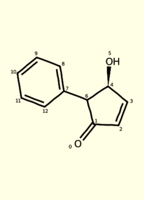 O=C1C=C[C@H](O)C1c1ccccc1